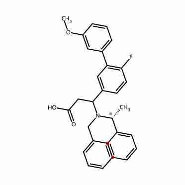 COc1cccc(-c2cc(C(CC(=O)O)N(Cc3ccccc3)[C@H](C)c3ccccc3)ccc2F)c1